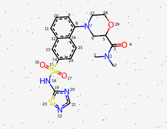 CN(C)C(=O)C1CN(c2cccc3cc(S(=O)(=O)Nc4ncns4)ccc23)CCO1